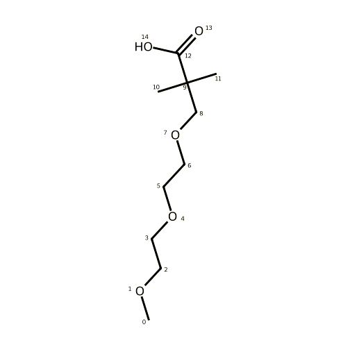 COCCOCCOCC(C)(C)C(=O)O